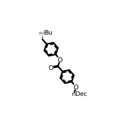 CCCCCCCCCCOc1ccc(C(=O)Oc2ccc(C[C@@H](C)CC)cc2)cc1